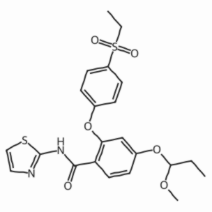 CCC(OC)Oc1ccc(C(=O)Nc2nccs2)c(Oc2ccc(S(=O)(=O)CC)cc2)c1